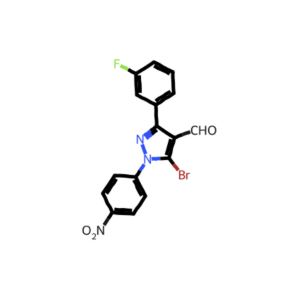 O=Cc1c(-c2cccc(F)c2)nn(-c2ccc([N+](=O)[O-])cc2)c1Br